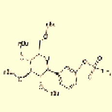 CCCCOC[C@H]1O[C@@H](c2cccc(OS(=O)(=O)C(F)(F)F)c2)[C@H](OCCCC)[C@@H](OCCCC)[C@@H]1OCCCC